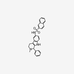 CN1CCc2c([nH]c3ccc(NS(=O)(=O)c4ccc5ccccc5c4)cc23)C1c1ccccc1